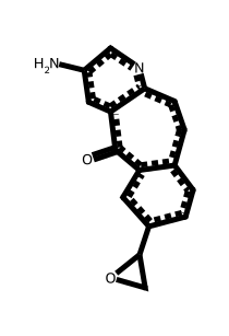 Nc1cnc2ccc3ccc(C4CO4)cc3c(=O)c2c1